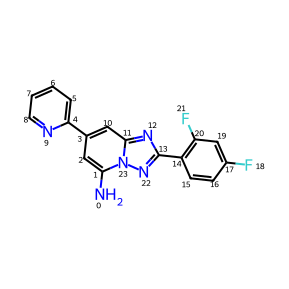 Nc1cc(-c2ccccn2)cc2nc(-c3ccc(F)cc3F)nn12